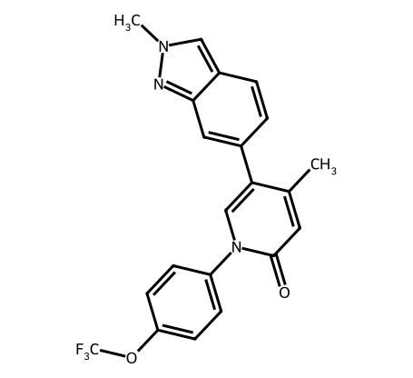 Cc1cc(=O)n(-c2ccc(OC(F)(F)F)cc2)cc1-c1ccc2cn(C)nc2c1